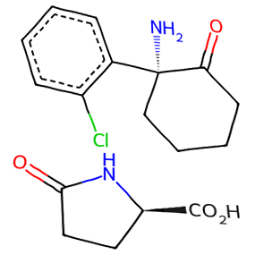 N[C@@]1(c2ccccc2Cl)CCCCC1=O.O=C1CC[C@H](C(=O)O)N1